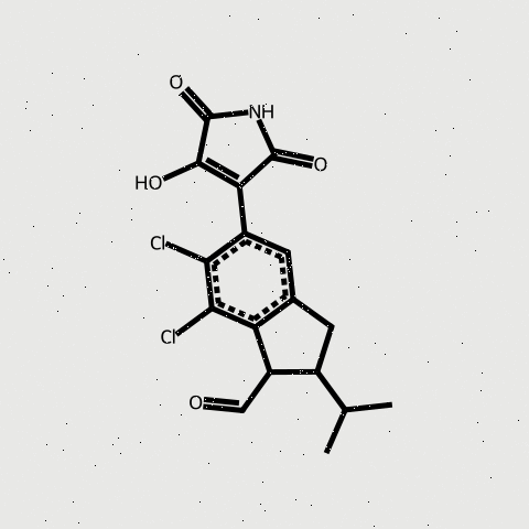 CC(C)C1Cc2cc(C3=C(O)C(=O)NC3=O)c(Cl)c(Cl)c2C1C=O